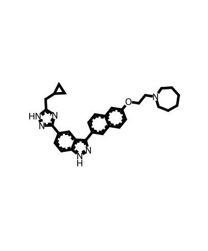 c1cc2cc(-c3n[nH]c4ccc(-c5n[nH]c(CC6CC6)n5)cc34)ccc2cc1OCCN1CCCCCC1